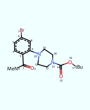 CNC(=O)c1ccc(Br)cc1N1CCN(C(=O)OC(C)(C)C)CC1